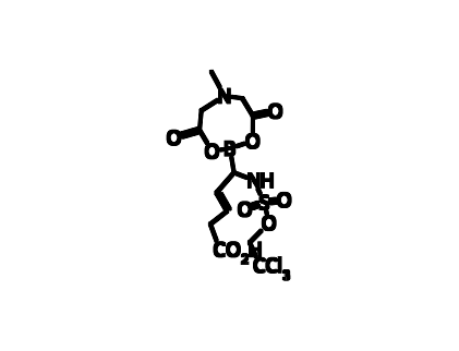 CN1CC(=O)OB(C(/C=C/CC(=O)O)NS(=O)(=O)OCC(Cl)(Cl)Cl)OC(=O)C1